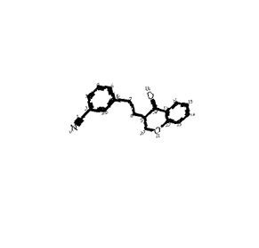 N#Cc1cccc(CCC2COc3ccccc3C2=O)c1